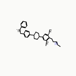 C/C=C/CCc1c(F)cc(C2CCC(c3ccc(C[C@H](C)c4ccccc4)cc3)CC2)cc1F